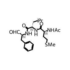 CSCC[C@H](NC(C)=O)C(=O)N[C@@H](CC(C)C)C(=O)N[C@H](C=O)Cc1ccccc1